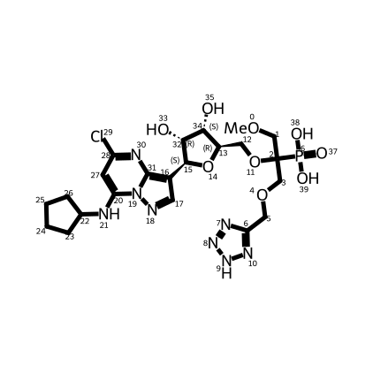 COCC(COCc1nn[nH]n1)(OC[C@H]1O[C@@H](c2cnn3c(NC4CCCC4)cc(Cl)nc23)[C@H](O)[C@@H]1O)P(=O)(O)O